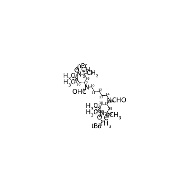 CCCON1C(C)(C)CC(N(C=O)CCCCCN(C=O)C2CC(C)(C)N(OCC(C)(C)C)C(C)(C)C2)CC1(C)C